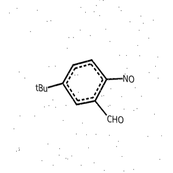 CC(C)(C)c1ccc(N=O)c(C=O)c1